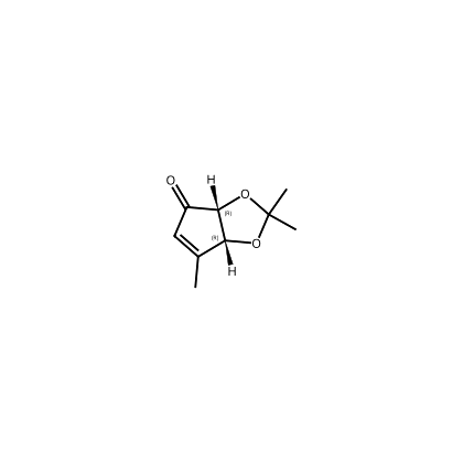 CC1=CC(=O)[C@@H]2OC(C)(C)O[C@H]12